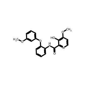 COc1cccc(Oc2ccccc2NC(=O)c2nccc(OC)c2O)c1